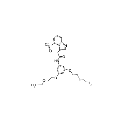 CCOCCOc1cc(NC(=O)Cn2cnc3cccc([N+](=O)[O-])c32)cc(OCCOCC)c1